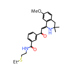 CCSCCNC(=O)c1cccc(C(=O)C=C2NC(C)(C)Cc3ccc(OC)cc32)c1